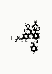 COC(=O)c1c(-c2ccc(CN)cc2)c2cc(OCc3ccccc3)ccc2c(=O)n1CC(C)C